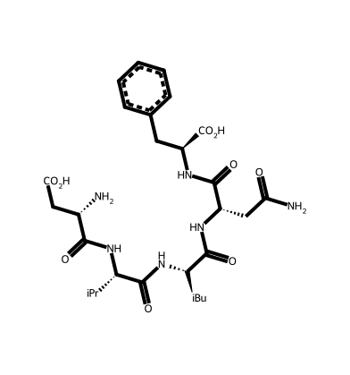 CC[C@H](C)[C@H](NC(=O)[C@@H](NC(=O)[C@@H](N)CC(=O)O)C(C)C)C(=O)N[C@@H](CC(N)=O)C(=O)N[C@@H](Cc1ccccc1)C(=O)O